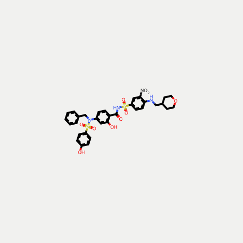 O=C(NS(=O)(=O)c1ccc(NCC2CCOCC2)c([N+](=O)[O-])c1)c1ccc(N(Cc2ccccc2)S(=O)(=O)c2ccc(O)cc2)cc1O